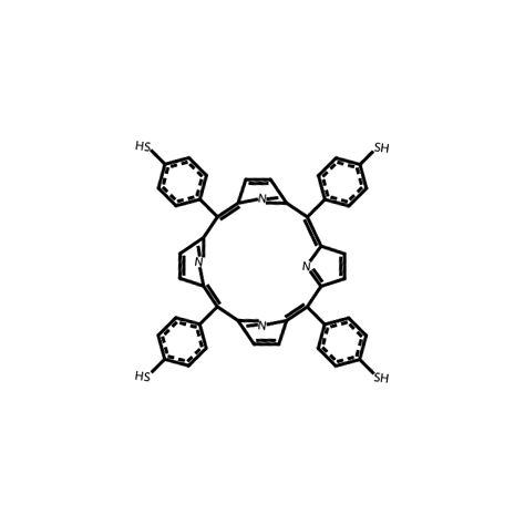 Sc1ccc(C2=C3C=CC(=N3)C(c3ccc(S)cc3)=C3C=CC(=N3)C(c3ccc(S)cc3)=C3C=CC(=N3)C(c3ccc(S)cc3)=C3C=CC2=N3)cc1